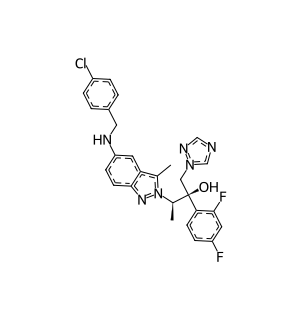 Cc1c2cc(NCc3ccc(Cl)cc3)ccc2nn1[C@H](C)[C@](O)(Cn1cncn1)c1ccc(F)cc1F